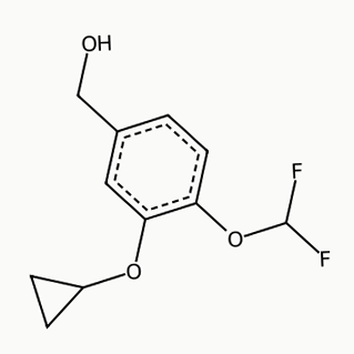 OCc1ccc(OC(F)F)c(OC2CC2)c1